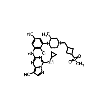 C[C@H]1CN(CC2CC(S(C)(=O)=O)C2)CCN1c1cc(C#N)cc(Nc2nc(NC3CC3)n3ncc(C#N)c3n2)c1Cl